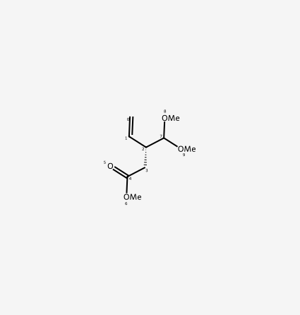 C=C[C@@H](CC(=O)OC)C(OC)OC